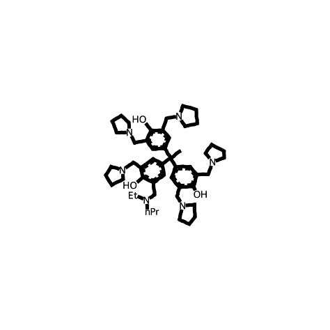 CCCN(CC)Cc1cc(C(C)(c2cc(CN3CCCC3)c(O)c(CN3CCCC3)c2)c2cc(CN3CCCC3)c(O)c(CN3CCCC3)c2)cc(CN2CCCC2)c1O